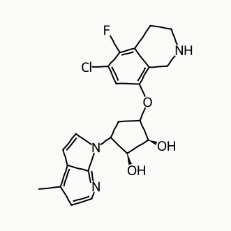 Cc1ccnc2c1ccn2C1CC(Oc2cc(Cl)c(F)c3c2CNCC3)[C@@H](O)[C@H]1O